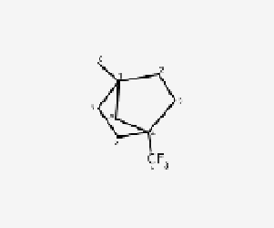 CC12CCC(C(F)(F)F)(CC1)C2